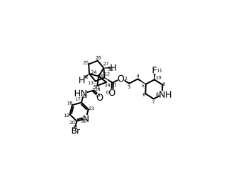 O=C(OCC[C@@H]1CCNC[C@@H]1F)[C@H]1[C@H](C(=O)Nc2ccc(Br)nc2)[C@@H]2CC[C@H]1C21CC1